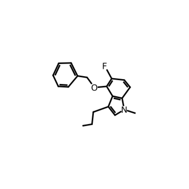 CCCc1cn(C)c2ccc(F)c(OCc3ccccc3)c12